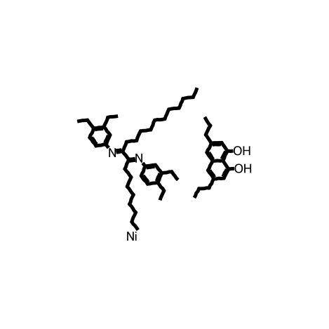 CCCCCCCCCCCC(=Nc1ccc(CC)c(CC)c1)C(CCCCCCCC)=Nc1ccc(CC)c(CC)c1.CCCc1cc(O)c2c(O)cc(CCC)cc2c1.[Ni]